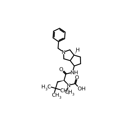 CN(C(=O)O)[C@@H](CC(C)(C)C)C(=O)NC1CC[C@@H]2CN(Cc3ccccc3)CC12